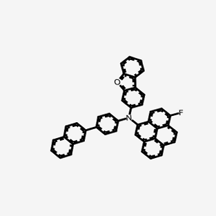 Fc1ccc2c(N(c3ccc(-c4ccc5ccccc5c4)cc3)c3ccc4c(c3)oc3ccccc34)cc3cccc4ccc1c2c43